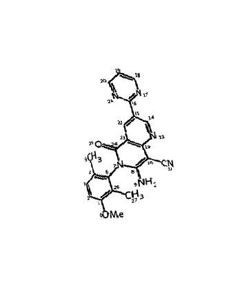 COc1ccc(C)c(-n2c(N)c(C#N)c3ncc(-c4ncccn4)cc3c2=O)c1C